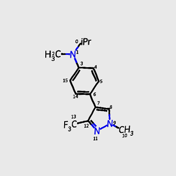 CC(C)N(C)c1ccc(-c2cn(C)nc2C(F)(F)F)cc1